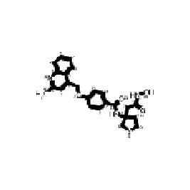 Cc1cc(COc2ccc(C(=O)NC3(CC(=O)NO)CCSC3)cc2)c2ccccc2n1